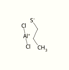 CCC[S-].[Cl][Al+][Cl]